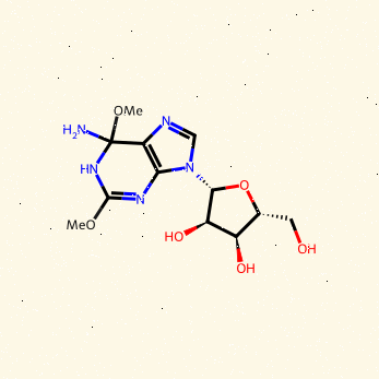 COC1=Nc2c(ncn2[C@@H]2O[C@H](CO)[C@@H](O)[C@H]2O)C(N)(OC)N1